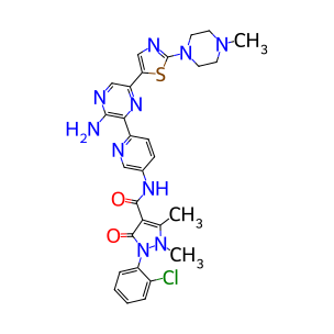 Cc1c(C(=O)Nc2ccc(-c3nc(-c4cnc(N5CCN(C)CC5)s4)cnc3N)nc2)c(=O)n(-c2ccccc2Cl)n1C